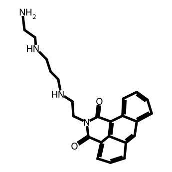 NCCNCCCNCCN1C(=O)c2cccc3cc4ccccc4c(c23)C1=O